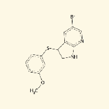 COc1cccc(SC2CNc3ncc(Br)cc32)c1